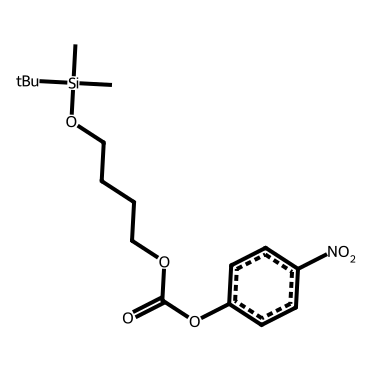 CC(C)(C)[Si](C)(C)OCCCCOC(=O)Oc1ccc([N+](=O)[O-])cc1